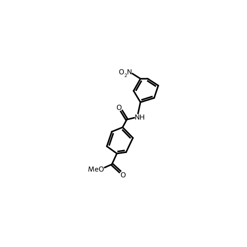 COC(=O)c1ccc(C(=O)Nc2cccc([N+](=O)[O-])c2)cc1